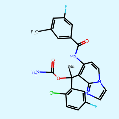 CC(C)(C)C(OC(N)=O)(c1cc(F)ccc1Cl)c1c(NC(=O)c2cc(F)cc(C(F)(F)F)c2)ccn2ccnc12